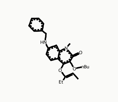 CC=C(CC)Oc1c(OCCCC)c(=O)n(C)c2cc(NCc3ccccc3)ccc12